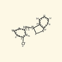 Clc1cncc(N[C@@H]2CCc3ccccc32)n1